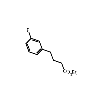 CCOC(=O)CCCc1cccc(F)c1